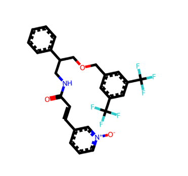 O=C(C=Cc1ccc[n+]([O-])c1)NCC(COCc1cc(C(F)(F)F)cc(C(F)(F)F)c1)c1ccccc1